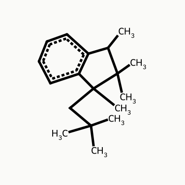 CC1c2ccccc2C(C)(CC(C)(C)C)C1(C)C